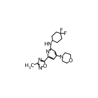 Cc1noc(-c2cc(N3CCOCC3)cc(NC3CCC(F)(F)CC3)n2)n1